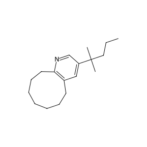 CCCC(C)(C)c1cnc2c(c1)CCCCCCC2